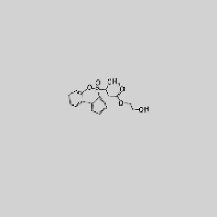 CC(CC(=O)OCCO)P1(=O)Oc2ccccc2-c2ccccc21